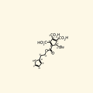 CC(C)(C)n1c(C(=O)O)c(C(=O)O)c(C(=O)O)c1C(=O)OCCc1cccs1